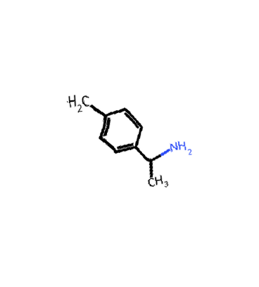 [CH2]c1ccc(C(C)N)cc1